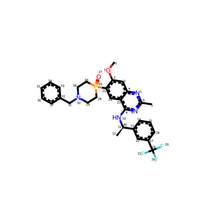 COc1cc2nc(C)nc(N[C@H](C)c3cccc(C(F)(F)F)c3)c2cc1P1(=O)CCN(Cc2ccccc2)CC1